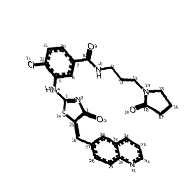 O=C1N=C(Nc2cc(C(=O)NCCCN3CCCC3=O)ccc2Cl)SC1=Cc1ccc2ncccc2c1